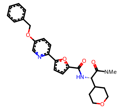 CNC(=O)[C@@H](NC(=O)c1ccc(-c2ccc(OCc3ccccc3)cn2)o1)C1CCOCC1